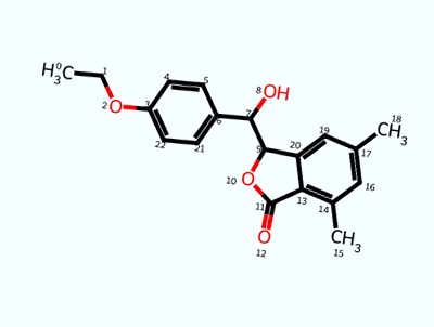 CCOc1ccc(C(O)C2OC(=O)c3c(C)cc(C)cc32)cc1